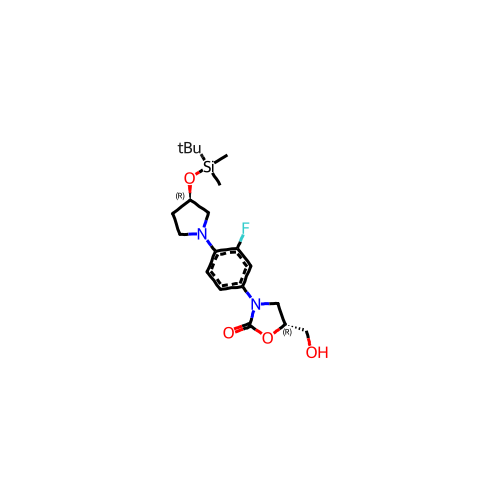 CC(C)(C)[Si](C)(C)O[C@@H]1CCN(c2ccc(N3C[C@H](CO)OC3=O)cc2F)C1